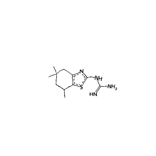 CC1CC(C)(C)Cc2nc(NC(=N)N)sc21